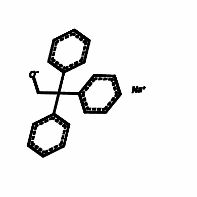 [Na+].[O-]CC(c1ccccc1)(c1ccccc1)c1ccccc1